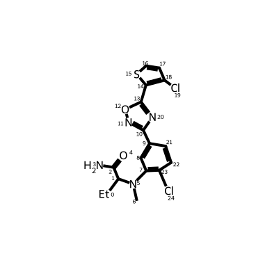 CCC(C(N)=O)N(C)c1cc(-c2noc(-c3sccc3Cl)n2)ccc1Cl